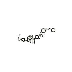 Cc1cc(Nc2nccn3c(-c4ccc(OC(C)F)cc4)cnc23)ccc1C(=O)CC1CCN(CCCC2CCCCC2)CC1